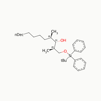 CCCCCCCCCCCCCC[C@@H](C)[C@H](O)[C@H](C)CO[Si](c1ccccc1)(c1ccccc1)C(C)(C)C